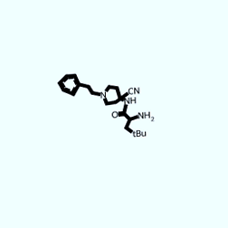 CC(C)(C)CC(N)C(=O)NC1(C#N)CCN(CCc2ccccc2)CC1